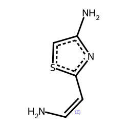 N/C=C\c1nc(N)cs1